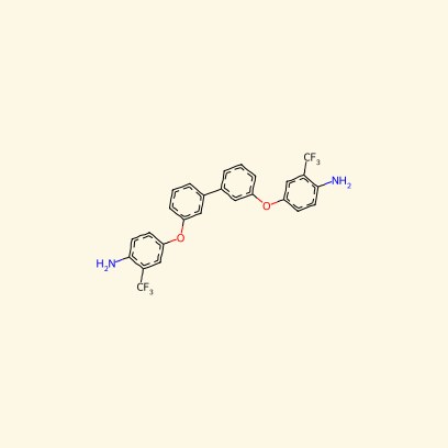 Nc1ccc(Oc2cccc(-c3cccc(Oc4ccc(N)c(C(F)(F)F)c4)c3)c2)cc1C(F)(F)F